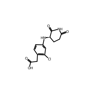 O=C(O)Cc1ccc(N[C@@H]2CCC(=O)NC2=O)cc1Cl